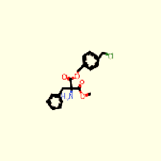 COC(=O)C(N)(Cc1ccccc1)C(=O)OCc1ccc(CCl)cc1